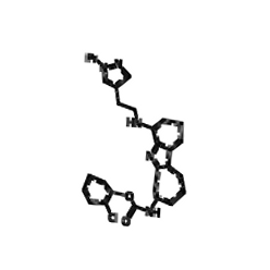 CC(C)n1cc(CCNc2cccc3c4cccc(NC(=O)Oc5ccccc5Cl)cc-4nc23)cn1